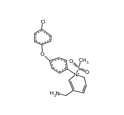 CS(=O)(=O)[N+]1(c2ccc(Oc3ccc(Cl)cc3)cc2)C=C(CN)C=CC1